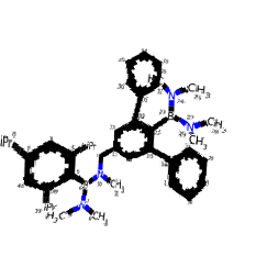 CC(C)c1cc(C(C)C)c(B(N(C)C)N(C)Cc2cc(-c3ccccc3)c(B(N(C)C)N(C)C)c(-c3ccccc3)c2)c(C(C)C)c1